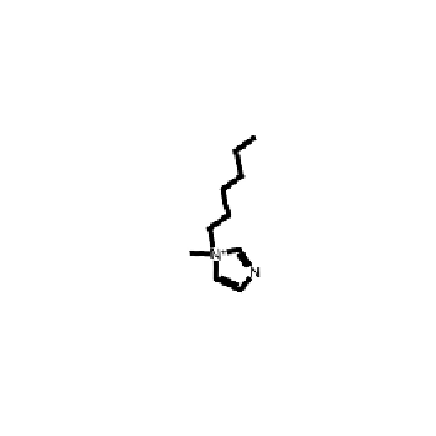 CCCCCC[N+]1(C)C=CN=C1